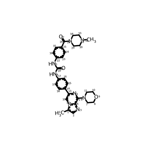 Cc1cnc2c(N3CCOCC3)nc(-c3ccc(NC(=O)Nc4ccc(C(=O)N5CCN(C)CC5)cc4)cc3)cn12